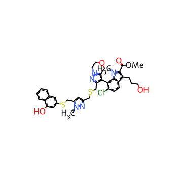 COC(=O)c1c(CCCO)c2ccc(Cl)c(-c3c(CSCc4cc(CSc5cc(O)c6ccccc6c5)n(C)n4)nn4c3COCC4)c2n1C